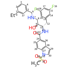 CCc1cccc(CNC[C@H](O)[C@H](Cc2cc(F)cc(F)c2)NC(=O)c2ccc3c(ccn3S(C)(=O)=O)c2)c1